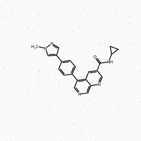 Cn1cc(-c2ccc(-c3cncc4ncc(C(=O)NC5CC5)cc34)cc2)cn1